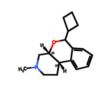 CN1CC[C@H]2c3ccccc3C(C3CCC3)O[C@H]2C1